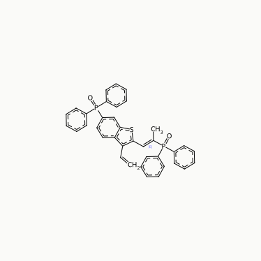 C=Cc1c(/C=C(\C)P(=O)(c2ccccc2)c2ccccc2)sc2cc(P(=O)(c3ccccc3)c3ccccc3)ccc12